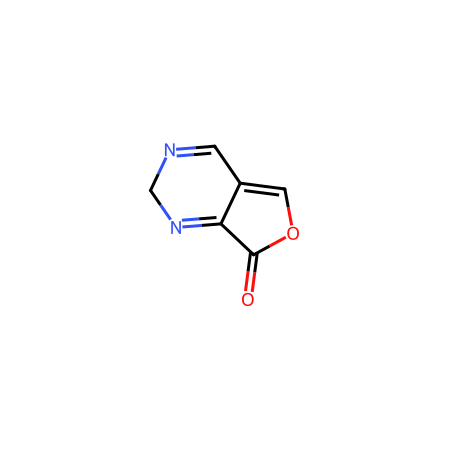 O=C1OC=C2C=NCN=C12